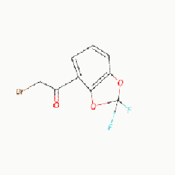 O=C(CBr)c1cccc2c1OC(F)(F)O2